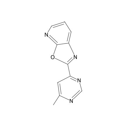 Cc1cc(-c2nc3cccnc3o2)ncn1